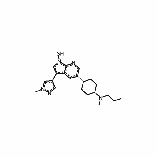 CCCN(C)[C@H]1CC[C@H](c2cnc3c(c2)c(-c2cnn(C)c2)cn3S)CC1